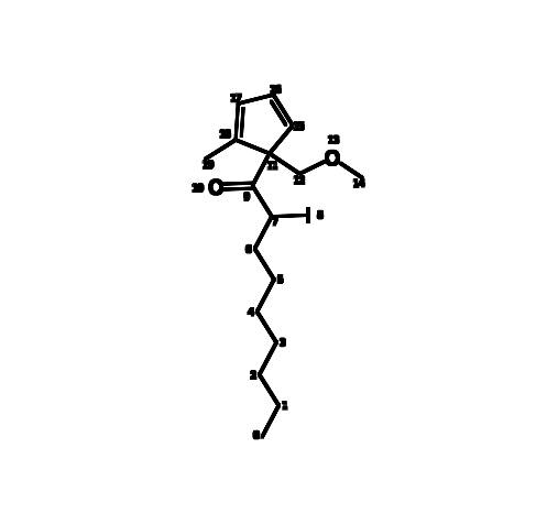 CCCCCCCC(I)C(=O)C1(COC)C=CC=C1C